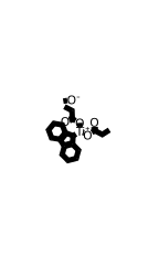 CCC(=O)[O][Ti+]([O]C(=O)CC)[CH]1C2=C(CCCC2)C2=C1CCCC2.C[O-]